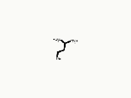 CC(C)(C)CCC(C(=O)O)C(=O)O